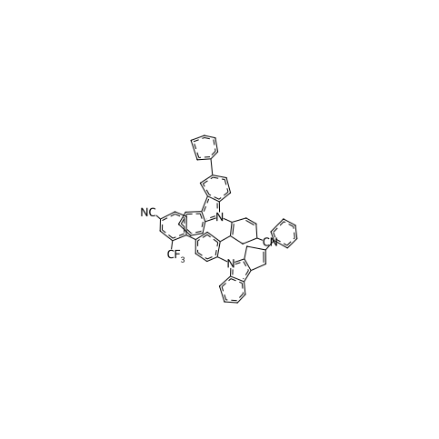 N#Cc1ccc(-c2ccc(-n3c4c(c5ccccc53)C=C(c3ccccc3)C4)c(C3=C(n4c5ccccc5c5cc(-c6ccccc6)ccc54)C=CC(C#N)C3)c2)c(C(F)(F)F)c1